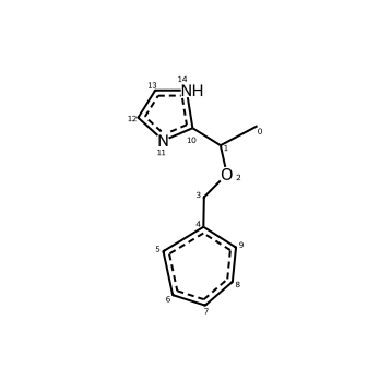 CC(OCc1ccccc1)c1ncc[nH]1